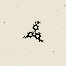 Oc1ccc(-n2c3ccc(Br)cc3c3cc(Br)ccc32)cc1